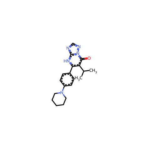 CC(C)c1c(-c2ccc(N3CCCCC3)cc2)[nH]c2ncnn2c1=O